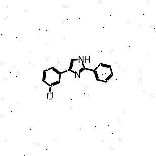 Clc1cccc(-c2c[nH]c(-c3ccccc3)n2)c1